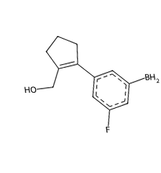 Bc1cc(F)cc(C2=C(CO)CCC2)c1